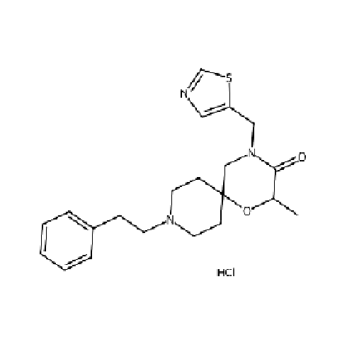 CC1OC2(CCN(CCc3ccccc3)CC2)CN(Cc2cncs2)C1=O.Cl